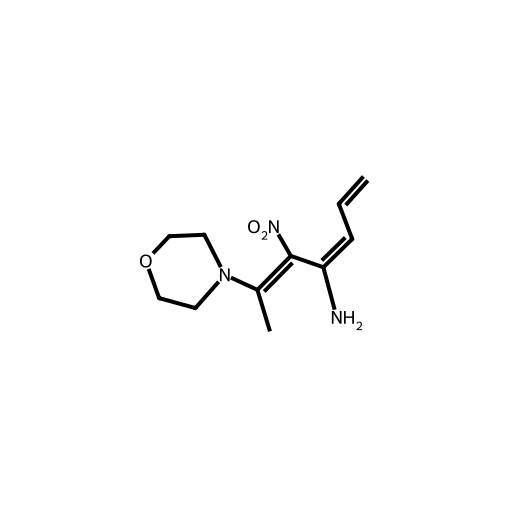 C=C/C=C(N)\C(=C(/C)N1CCOCC1)[N+](=O)[O-]